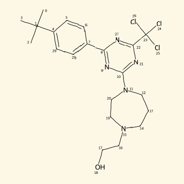 CC(C)(C)c1ccc(-c2nc(N3CCCN(CCO)CC3)nc(C(Cl)(Cl)Cl)n2)cc1